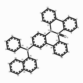 O=P12c3ccccc3-c3ccccc3N1c1ccc(N(c3ccccc3)c3cccc4ccccc34)cc1-c1ccccc12